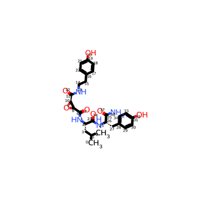 CC(C)C[C@H](NC(=O)C1O[C@H]1C(=O)NCCc1ccc(O)cc1)C(=O)N[C@@H](Cc1ccc(O)cc1)C(N)=O